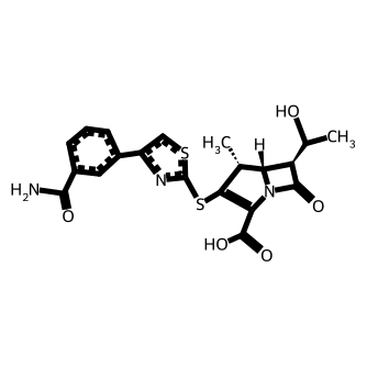 CC(O)[C@H]1C(=O)N2C(C(=O)O)=C(Sc3nc(-c4cccc(C(N)=O)c4)cs3)[C@H](C)[C@H]12